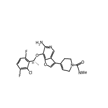 CNC(=O)N1CC=C(c2coc3c(O[C@H](C)c4c(F)ccc(F)c4Cl)c(N)ncc23)CC1